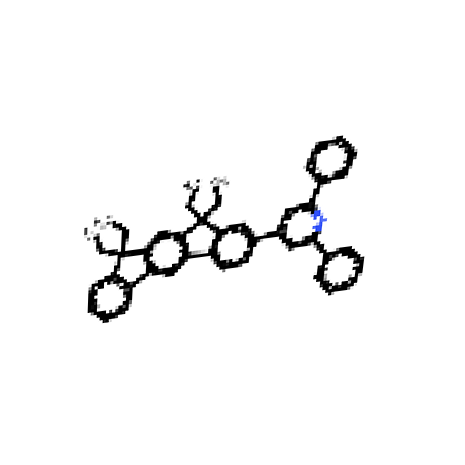 CCC1(CC)c2ccccc2-c2cc3c(cc21)C(CC)(CC)c1cc(-c2cc(-c4ccccc4)nc(-c4ccccc4)c2)ccc1-3